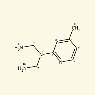 Cc1ccnc(N(CN)CN)c1